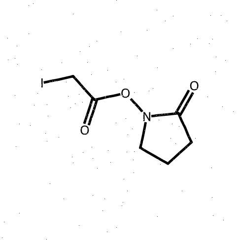 O=C(CI)ON1CCCC1=O